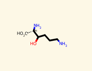 NCCCC(O)[C@@H](N)C(=O)O